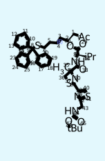 CC(=O)C[C@H](/C=C/CCSC(c1ccccc1)(c1ccccc1)c1ccccc1)OC(=O)[C@H](NC(=O)[C@@]1(C)CSC(c2csc(CNC(=O)OC(C)(C)C)n2)=N1)C(C)C